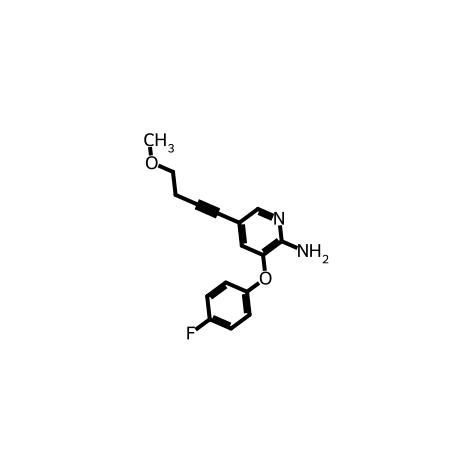 COCCC#Cc1cnc(N)c(Oc2ccc(F)cc2)c1